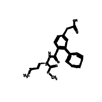 COC(=O)[C@H](CCSC)NC(=O)c1ccc(CC(=O)O)cc1-c1ccccc1